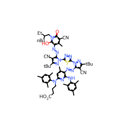 [C-]#[N+]c1c(C(C)(C)C)nn(-c2nnc(-n3nc(C(C)(C)C)c(C#N)c3N=Nc3c(C)cc(N(CCCC(=O)O)c4c(C)cc(C)cc4C)nc3Nc3c(C)cc(C)cc3C)s2)c1N=Nc1c(C)c(C#N)c(=O)n(CC(CC)CCCC)c1O